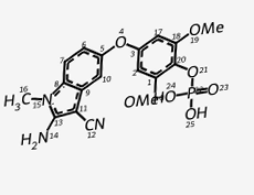 COc1cc(Oc2ccc3c(c2)c(C#N)c(N)n3C)cc(OC)c1OP(=O)(O)O